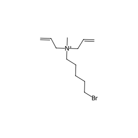 C=CC[N+](C)(CC=C)CCCCCBr